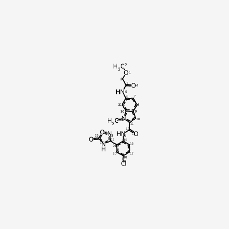 COCC(=O)Nc1ccc2cc(C(=O)Nc3ccc(Cl)cc3-c3noc(=O)[nH]3)n(C)c2c1